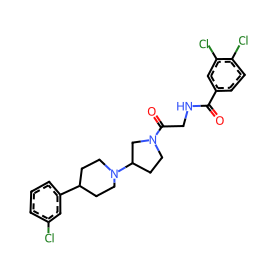 O=C(NCC(=O)N1CCC(N2CCC(c3cccc(Cl)c3)CC2)C1)c1ccc(Cl)c(Cl)c1